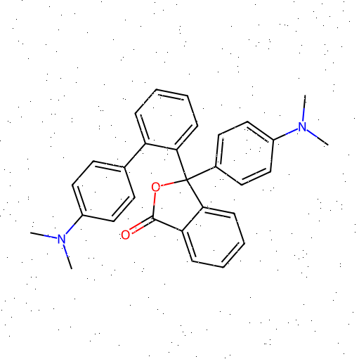 CN(C)c1ccc(-c2ccccc2C2(c3ccc(N(C)C)cc3)OC(=O)c3ccccc32)cc1